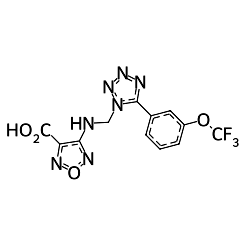 O=C(O)c1nonc1NCn1nnnc1-c1cccc(OC(F)(F)F)c1